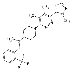 Cc1c(-c2ccnn2C)nnc(N2CCC(N(C)Cc3ccccc3C(F)(F)F)CC2)c1C